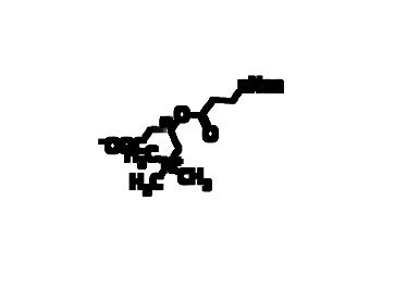 CCCCCCCCCCCC(=O)O[C@@H](CC(=O)[O-])C[N+](C)(C)C